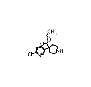 CCOC(=O)C1(c2ccc(Cl)nc2)CCNCC1